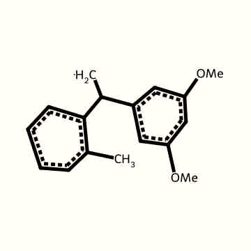 [CH2]C(c1cc(OC)cc(OC)c1)c1ccccc1C